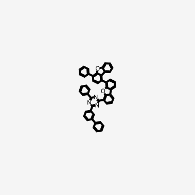 c1ccc(-c2cccc(-c3nc(-c4ccccc4)nc(-c4cccc5c4oc4c(-c6ccc(-c7ccccc7)c7oc8ccccc8c67)cccc45)n3)c2)cc1